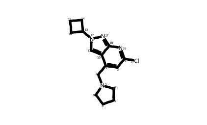 Clc1cc(CN2CCCC2)c2cn(C3CCC3)nc2n1